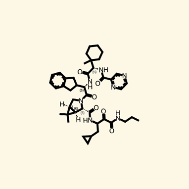 CCCNC(=O)C(=O)C(CC1CC1)NC(=O)[C@@H]1[C@@H]2[C@H](CN1C(=O)[C@@H](NC(=O)[C@@H](NC(=O)c1cnccn1)C1(C)CCCCC1)C1Cc3ccccc3C1)C2(C)C